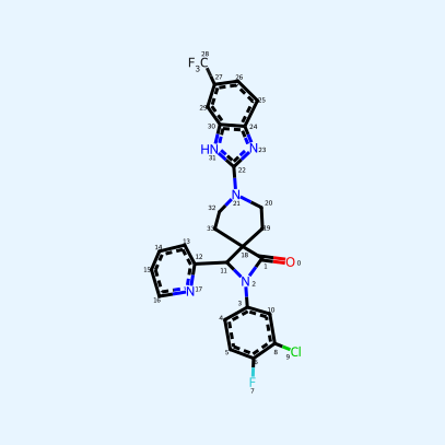 O=C1N(c2ccc(F)c(Cl)c2)C(c2ccccn2)C12CCN(c1nc3ccc(C(F)(F)F)cc3[nH]1)CC2